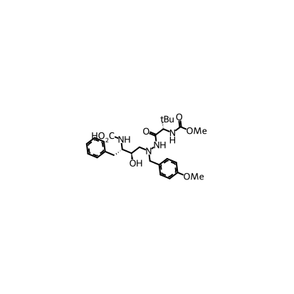 COC(=O)N[C@H](C(=O)NN(Cc1ccc(OC)cc1)C[C@@H](O)[C@H](Cc1ccccc1)NC(=O)O)C(C)(C)C